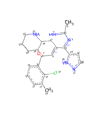 CC(=N)/N=C(\C(=C\C(=O)c1cccc(C)c1Cl)CC1CCCCN1)c1ccn[nH]1